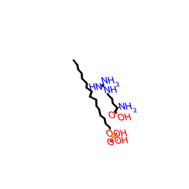 CCCCCCCCCCCCCCCCOP(=O)(O)O.N=C(N)NCCC[C@H](N)C(=O)O